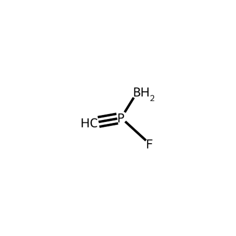 BP(#C)F